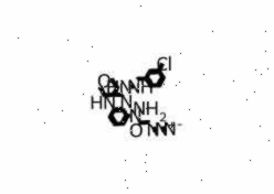 [N-]=[N+]=NCC(=O)N(N)c1cccc2c1N=C(NNCc1cccc(Cl)c1)C1(CCOCC1)N2